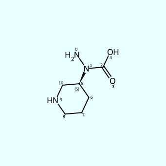 NN(C(=O)O)[C@H]1CCCNC1